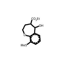 CCOC(=O)C1CCOc2c(SC)cccc2C1O